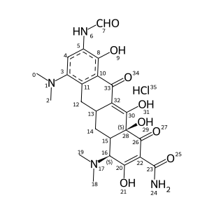 CN(C)c1cc(NC=O)c(O)c2c1CC1CC3[C@H](N(C)C)C(O)=C(C(N)=O)C(=O)[C@@]3(O)C(O)=C1C2=O.Cl